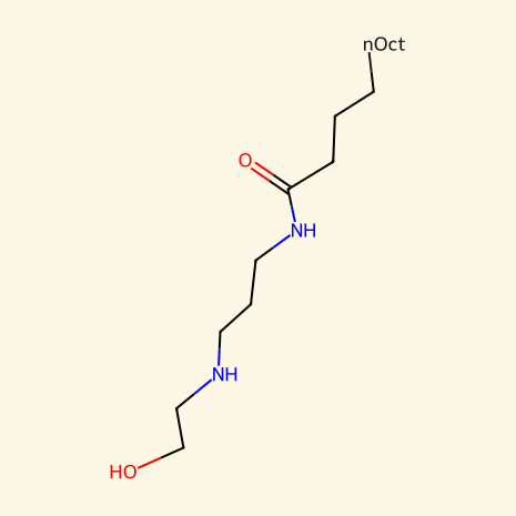 CCCCCCCCCCCC(=O)NCCCNCCO